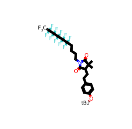 CC(C)(C)Oc1ccc(CCC2C(=O)N(CCCCC(F)(F)C(F)(F)C(F)(F)C(F)(F)C(F)(F)C(F)(F)F)C(=O)C2(C)C)cc1